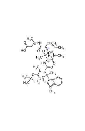 C/C(=C\[C@H](C(C)C)N(C)C(=O)[C@@H](NC(=O)[C@@H](N(C)C(=O)OC(C)(C)C)C(C)(C)c1cn(C)c2ccccc12)C(C)(C)C)C(=O)N[C@H](C)CC(=O)O